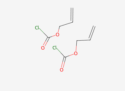 C=CCOC(=O)Cl.C=CCOC(=O)Cl